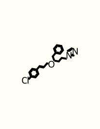 Clc1ccc(/C=C/COC(CCCn2ccnc2)Cc2ccccc2)cc1